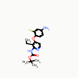 CCc1c(Oc2ccc(N)cc2F)ccnc1NC(=O)OC(C)(C)C